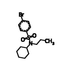 CCCN(C1CCCCC1)S(=O)(=O)c1ccc(Br)cc1